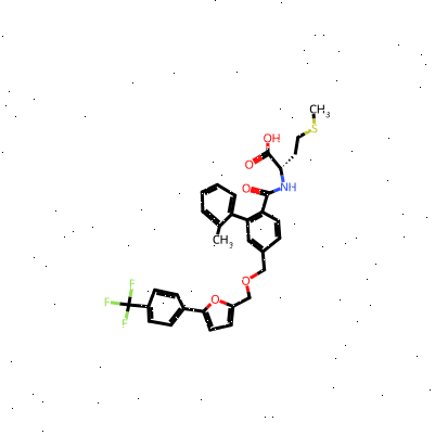 CSCC[C@H](NC(=O)c1ccc(COCc2ccc(-c3ccc(C(F)(F)F)cc3)o2)cc1-c1ccccc1C)C(=O)O